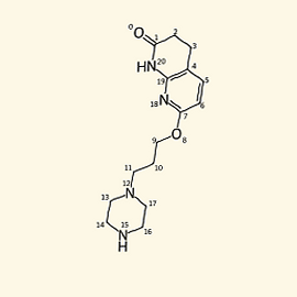 O=C1CCc2ccc(OCCCN3CCNCC3)nc2N1